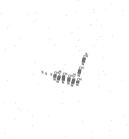 C#N.C#N.C#N.C#N.C#N.C#N.C#N.C#N.[S].[S].[S].[S]